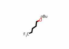 CCCCOCCCCC(F)(F)F